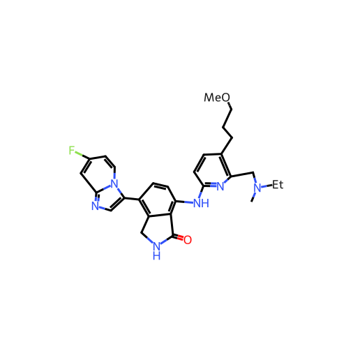 CCN(C)Cc1nc(Nc2ccc(-c3cnc4cc(F)ccn34)c3c2C(=O)NC3)ccc1CCCOC